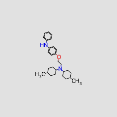 CC1CCC(N(CCOc2ccc(Nc3ccccc3)cc2)C2CCC(C)CC2)CC1